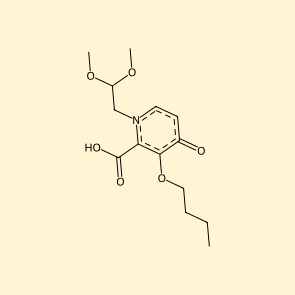 CCCCOc1c(C(=O)O)n(CC(OC)OC)ccc1=O